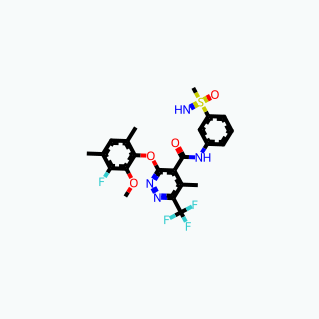 COc1c(F)c(C)cc(C)c1Oc1nnc(C(F)(F)F)c(C)c1C(=O)Nc1cccc(S(C)(=N)=O)c1